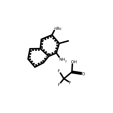 CCCCc1cc2ccccc2c(N)c1C.O=C(O)C(F)(F)F